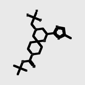 Cc1cnc(C2CN(CC(F)(F)F)CC3(CCN(C(=O)OC(C)(C)C)CC3)O2)s1